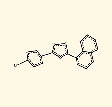 Brc1ccc(-c2nnc(-c3cccc4ccccc34)o2)cc1